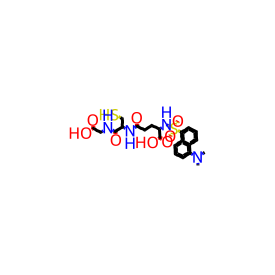 CN(C)c1cccc2c(S(=O)(=O)NC(CCC(=O)NC(CS)C(=O)NCC(=O)O)C(=O)O)cccc12